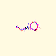 CCc1c(SC[C@@H]2NC(=O)CNC(=O)[C@H]([C@@H](C)CC)CNC(=O)CNC(=O)NC(=O)[C@H](C(C)CC)NC(=O)[C@@H]3C[C@@H](O)CN3C(=O)[C@H](CC(=O)O)NC2=O)[nH]c2ccc(NC(=O)CNC(=O)C(C)NC(=O)CCCN3C(=O)C=CC3=O)cc12